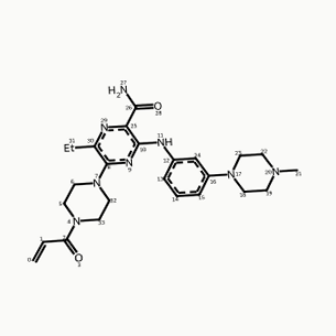 C=CC(=O)N1CCN(c2nc(Nc3cccc(N4CCN(C)CC4)c3)c(C(N)=O)nc2CC)CC1